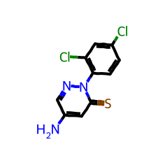 Nc1cnn(-c2ccc(Cl)cc2Cl)c(=S)c1